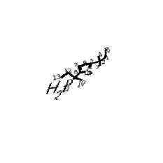 CCC(C)(C)c1ccc(C(C)(P)CC)s1